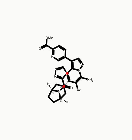 COC(=O)c1ccc(-c2cnn3c(N)c(C(C)=O)c([C@@H]4C[C@H]5CC[C@@H](C4)N5C(=O)c4nnc[nH]4)nc23)cn1